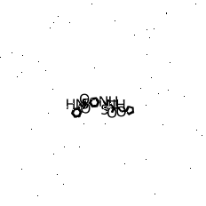 O=C(COC1=CCC=C1)NC(=S)Nc1ccc(S(=O)(=O)Nc2ccccc2)cc1